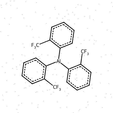 FC(F)(F)c1cccc[c]1[Al]([c]1ccccc1C(F)(F)F)[c]1ccccc1C(F)(F)F